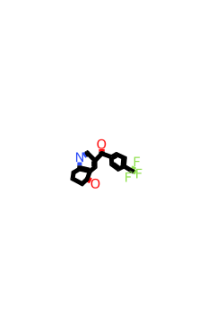 O=C(c1ccc(C(F)(F)F)cc1)c1cnc2c(c1)C(=O)CCC2